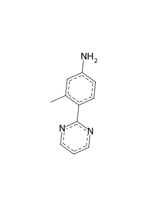 Cc1cc(N)ccc1-c1ncccn1